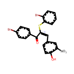 O=C(/C(=C\c1ccc(O)c([N+](=O)[O-])c1)Sc1ccccc1Br)c1ccc(Br)cc1